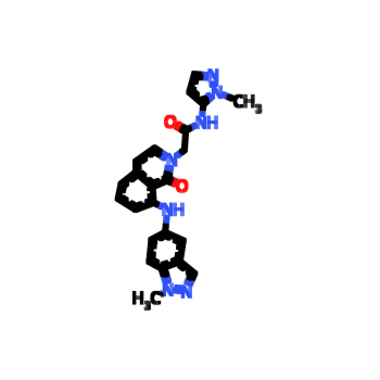 Cn1nccc1NC(=O)Cn1ccc2cccc(Nc3ccc4c(cnn4C)c3)c2c1=O